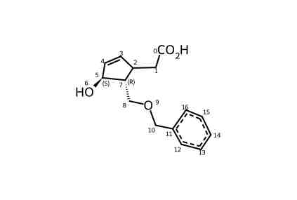 O=C(O)CC1C=C[C@H](O)[C@H]1COCc1ccccc1